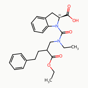 CCOC(=O)C(CCc1ccccc1)CN(CC)C(=O)N1c2ccccc2C[C@H]1C(=O)O